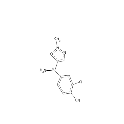 Cn1cc([C@H](N)c2ccc(C#N)c(Cl)c2)cn1